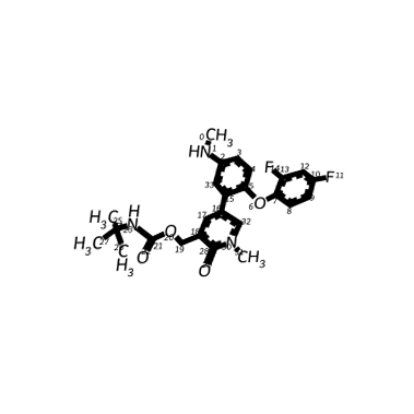 CNc1ccc(Oc2ccc(F)cc2F)c(-c2cc(COC(=O)NC(C)(C)C)c(=O)n(C)c2)c1